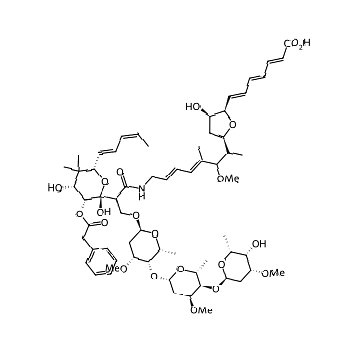 C/C=C\C=C\[C@@H]1O[C@](O)(C(CO[C@@H]2C[C@@H](OC)[C@@H](O[C@H]3C[C@H](OC)[C@H](O[C@@H]4C[C@@H](OC)[C@@H](O)[C@@H](C)O4)[C@@H](C)O3)[C@@H](C)O2)C(=O)NC/C=C/C=C(\C)C(OC)C(C)[C@H]2C[C@@H](O)[C@@H](/C=C/C=C/C=C/C(=O)O)O2)[C@H](OC(=O)Cc2ccccc2)[C@H](O)C1(C)C